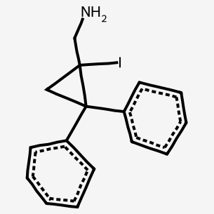 NCC1(I)CC1(c1ccccc1)c1ccccc1